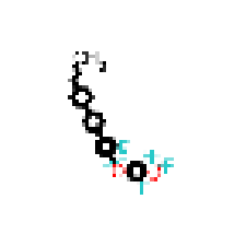 CCCCC1CCC(C2CCC(c3ccc(C(F)(F)Oc4cc(F)c(OC(F)F)c(F)c4)c(F)c3)CC2)CC1